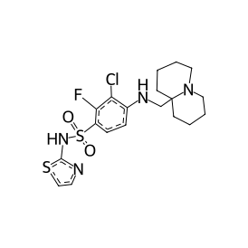 O=S(=O)(Nc1nccs1)c1ccc(NCC23CCCCN2CCCC3)c(Cl)c1F